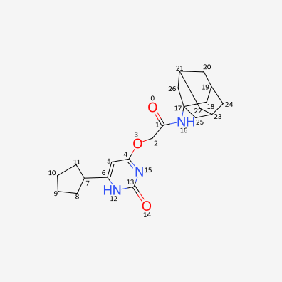 O=C(COc1cc(C2CCCC2)[nH]c(=O)n1)NC12CC3CC(CC(C3)C1)C2